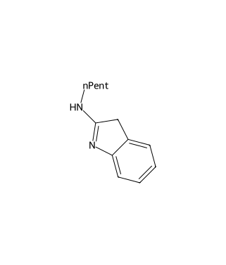 CCCCCNC1=Nc2ccccc2C1